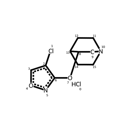 Cl.Clc1conc1OC1CN2CCC1CC2